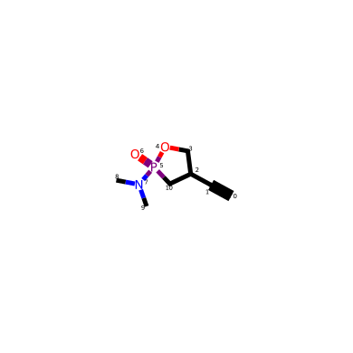 C#CC1COP(=O)(N(C)C)C1